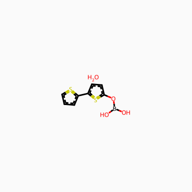 O.OB(O)Oc1ccc(-c2cccs2)s1